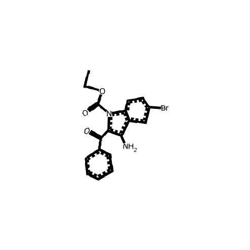 CCOC(=O)n1c(C(=O)c2ccccc2)c(N)c2cc(Br)ccc21